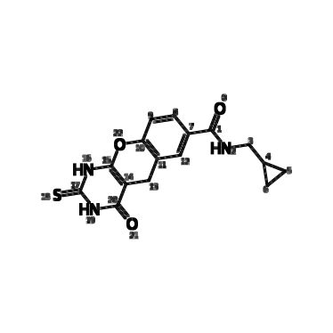 O=C(NCC1CC1)c1ccc2c(c1)Cc1c([nH]c(=S)[nH]c1=O)O2